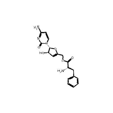 Nc1ccn([C@@H]2OC(COC(=O)[C@@H](N)Cc3ccccc3)=C[C@H]2O)c(=O)n1